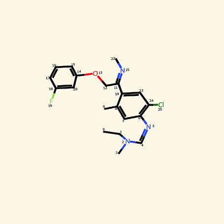 CCN(C)/C=N\c1cc(C)c(/C(COc2cccc(F)c2)=N/C)cc1Cl